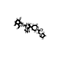 CCc1c(C)ccc(F)c1CNc1ncc(C2CCCN(C(=O)CN3CCCC3)CC2)c2nncn12